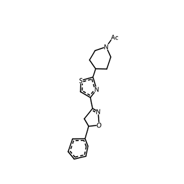 CC(=O)N1CCC(c2nc(C3=NOC(c4ccccc4)C3)cs2)CC1